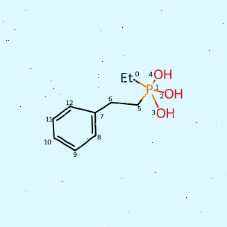 CCP(O)(O)(O)CCc1ccccc1